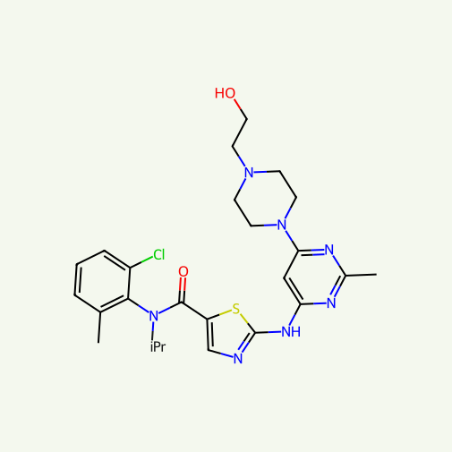 Cc1nc(Nc2ncc(C(=O)N(c3c(C)cccc3Cl)C(C)C)s2)cc(N2CCN(CCO)CC2)n1